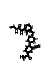 CCNC(=O)Nc1ncnc(CN2CCC(c3ccc(C(=O)NC)nc3C#N)CC2)c1F